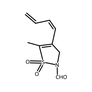 C=C/C=C\C1=C(C)S(=O)(=O)N(C=O)C1